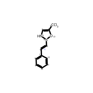 ClC(Cl)(Cl)C1=CNN(/C=C/c2ccccc2)O1